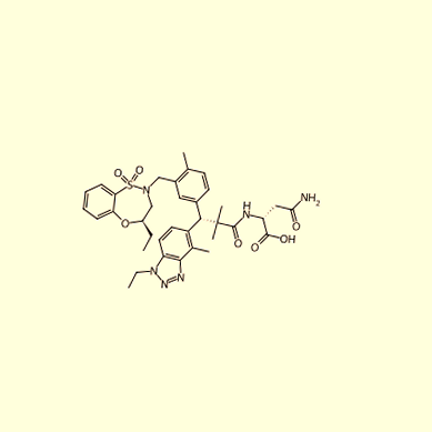 CC[C@@H]1CN(Cc2cc([C@@H](c3ccc4c(nnn4CC)c3C)C(C)(C)C(=O)N[C@H](CC(N)=O)C(=O)O)ccc2C)S(=O)(=O)c2ccccc2O1